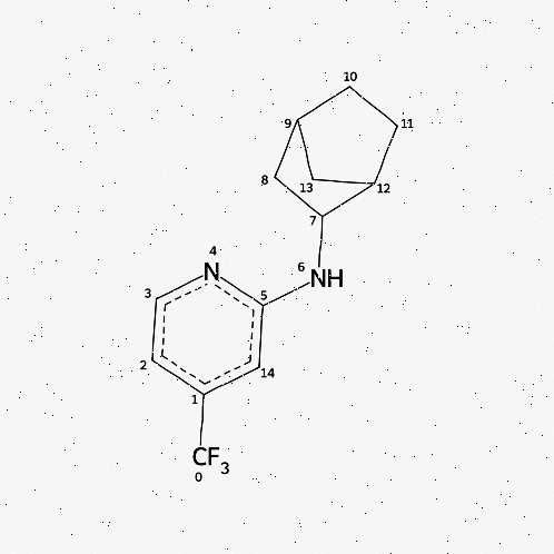 FC(F)(F)c1ccnc(NC2CC3CCC2C3)c1